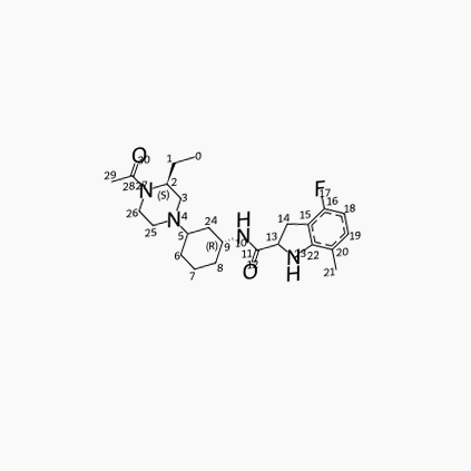 CC[C@H]1CN(C2CCC[C@@H](NC(=O)C3Cc4c(F)ccc(C)c4N3)C2)CCN1C(C)=O